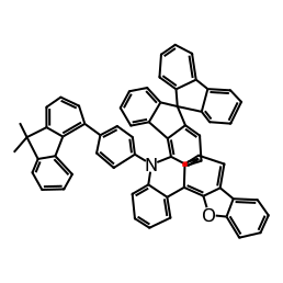 CC1(C)c2ccccc2-c2c(-c3ccc(N(c4ccccc4-c4cccc5c4oc4ccccc45)c4cccc5c4-c4ccccc4C54c5ccccc5-c5ccccc54)cc3)cccc21